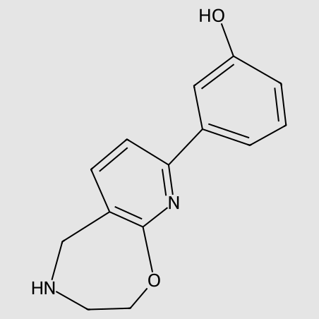 Oc1cccc(-c2ccc3c(n2)OCCNC3)c1